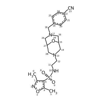 Cc1noc(C)c1S(=O)(=O)NCCN1CC2CN(Cc3ccc(C#N)cc3)CC(C1)O2